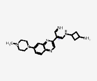 CN1CCN(c2ccc3ncc(/C(C=N)=C/NC4CC(N)C4)nc3c2)CC1